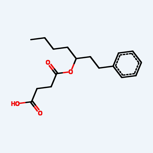 CCCCC(CCc1ccccc1)OC(=O)CCC(=O)O